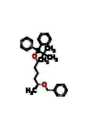 C[C@@H](CCCCO[Si](c1ccccc1)(c1ccccc1)C(C)(C)C)OCc1ccccc1